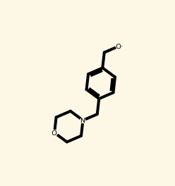 [O]Cc1ccc(CN2CCOCC2)cc1